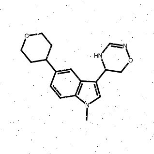 Cn1cc(C2CON=CN2)c2cc(C3CCOCC3)ccc21